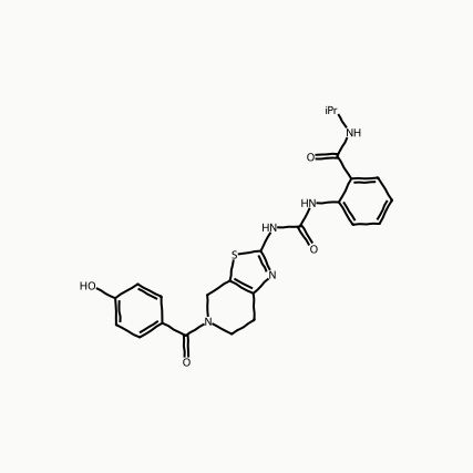 CC(C)NC(=O)c1ccccc1NC(=O)Nc1nc2c(s1)CN(C(=O)c1ccc(O)cc1)CC2